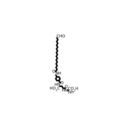 CCC[C@H](NC(=O)CCC(NC(=O)C1CCC(CNC(=O)CCCCCCCCCCCCCCCCCCC=O)CC1)C(=O)O)C(=O)O